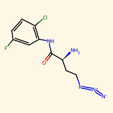 [N-]=[N+]=NCC[C@H](N)C(=O)Nc1cc(F)ccc1Cl